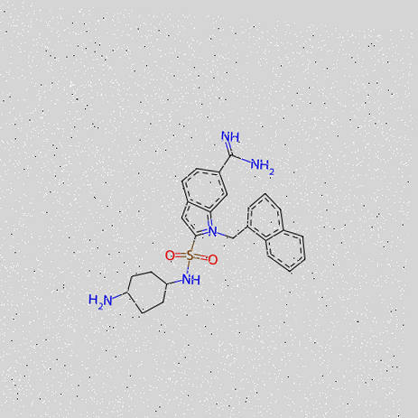 N=C(N)c1ccc2cc(S(=O)(=O)NC3CCC(N)CC3)n(Cc3cccc4ccccc34)c2c1